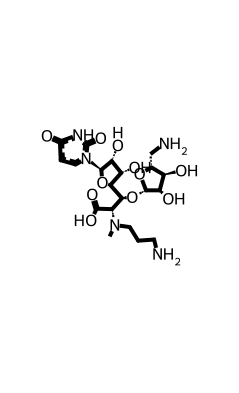 CN(CCCN)[C@H](C(=O)O)[C@H](O[C@@H]1O[C@H](CN)[C@@H](O)[C@H]1O)[C@H]1O[C@@H](n2ccc(=O)[nH]c2=O)[C@H](O)[C@@H]1O